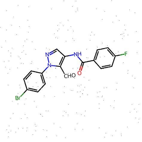 O=Cc1c(NC(=O)c2ccc(F)cc2)cnn1-c1ccc(Br)cc1